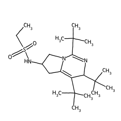 CCS(=O)(=O)NC1CC2=C(C(C)(C)C)C(C(C)(C)C)N=C(C(C)(C)C)N2C1